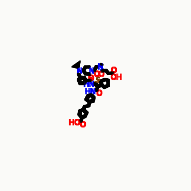 CN(CC(=O)N1CCC(N(Cc2cccc(C(=O)Nc3sc4c(c3C(=O)Nc3ccc(CCc5ccc(C(=O)O)cc5)cc3)CCCC4)c2)C2CC2)CC1)C(=O)CCC(=O)O